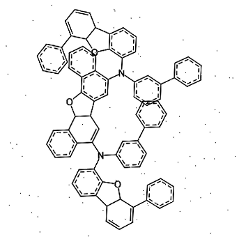 C1=CC2c3cccc(N(C4=CC5c6cc(N(c7cccc(-c8ccccc8)c7)c7cccc8c7OC7C(c9ccccc9)=CC=CC87)c7ccccc7c6OC5c5ccccc54)c4cccc(-c5ccccc5)c4)c3OC2C(c2ccccc2)=C1